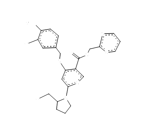 COc1ccc(CNc2cc(N3CCCC3CO)ncc2C(=O)NCc2ncccn2)cc1Cl